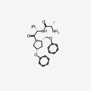 CC(C)[C@H](NC(=O)[C@H](C)N)C(=O)N1C[C@@H](Oc2ccccc2)C[C@H]1COc1ccccc1